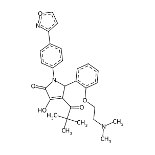 CN(C)CCOc1ccccc1C1C(C(=O)C(C)(C)C)=C(O)C(=O)N1c1ccc(-c2ccon2)cc1